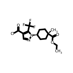 CCOC(=O)[C@]1(C)CC[C@@H](n2ncc(C(=O)Cl)c2C(F)(F)F)CC1